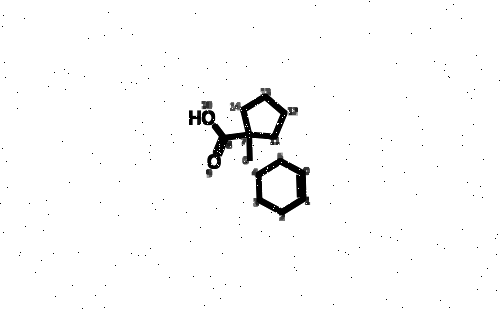 C1=CCCCC1.CC1(C(=O)O)CCCC1